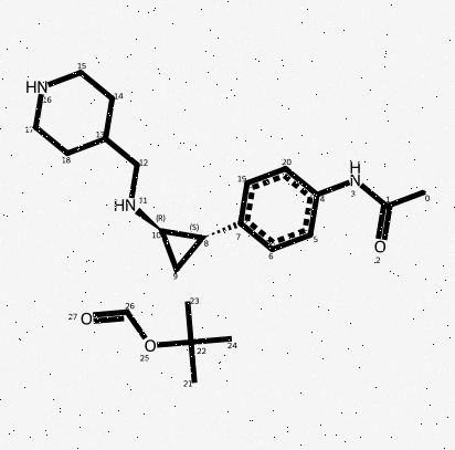 CC(=O)Nc1ccc([C@@H]2C[C@H]2NCC2CCNCC2)cc1.CC(C)(C)OC=O